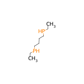 CCPCCCCPCC